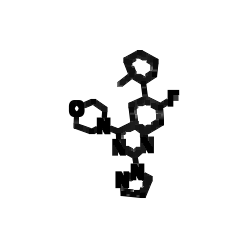 Cc1ccccc1-c1cc2c(N3CCOCC3)nc(-n3cccn3)nc2cc1F